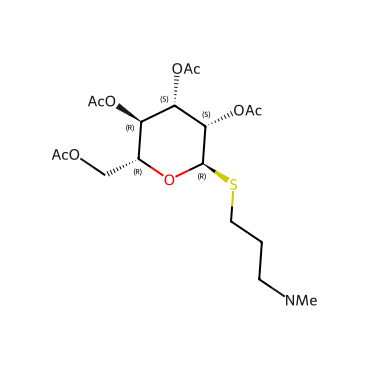 CNCCCS[C@H]1O[C@H](COC(C)=O)[C@@H](OC(C)=O)[C@H](OC(C)=O)[C@@H]1OC(C)=O